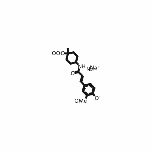 COc1cc(C=CC(=O)NC2CCC(C)(C(=O)[O-])CC2)ccc1[O-].[Na+].[Na+]